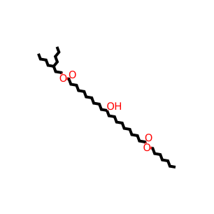 CCCCCCCOC(=O)CCCCCCCCCC(O)CCCCCCCCCC(=O)OCCC(CCCC)CCCC